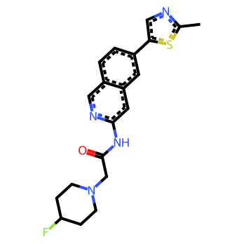 Cc1ncc(-c2ccc3cnc(NC(=O)CN4CCC(F)CC4)cc3c2)s1